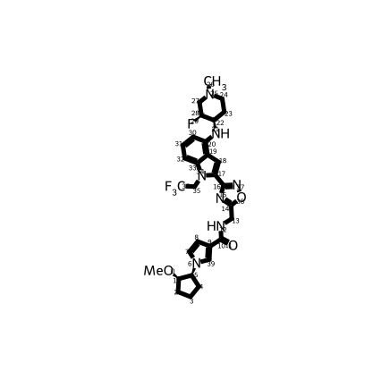 CO[C@@H]1CCC[C@@H]1n1ccc(C(=O)NCc2nc(-c3cc4c(N[C@@H]5CCN(C)C[C@@H]5F)cccc4n3CC(F)(F)F)no2)c1